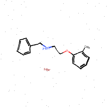 Br.COc1ccccc1OCCNCc1ccccc1